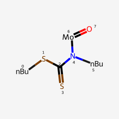 CCCCSC(=S)[N](CCCC)[Mo]=[O]